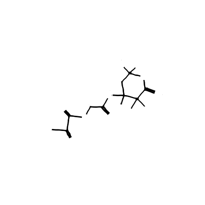 C=C(C)C(=O)OCC(=O)OC1(C)CC(C)(C)OC(=O)C1(F)F